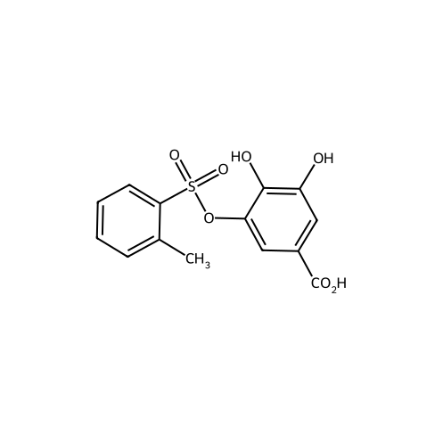 Cc1ccccc1S(=O)(=O)Oc1cc(C(=O)O)cc(O)c1O